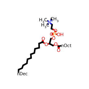 CCCCCCCCCCCCCCCCCCCCCC(=O)OC(COC(=O)CCCCCCCC)COP(=O)(O)OCC[N+](C)(C)C